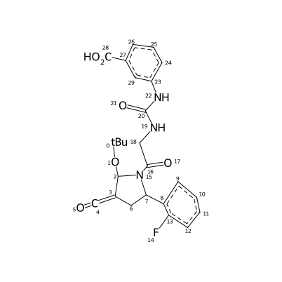 CC(C)(C)OC1C(=C=O)CC(c2ccccc2F)N1C(=O)CNC(=O)Nc1cccc(C(=O)O)c1